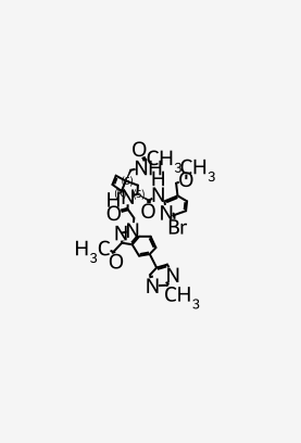 COCc1ccc(Br)nc1NC(=O)[C@@H]1C[C@@]2(CNC(C)=O)C=C[C@H]2N1C(=O)Cn1nc(C(C)=O)c2cc(-c3cnc(C)nc3)ccc21